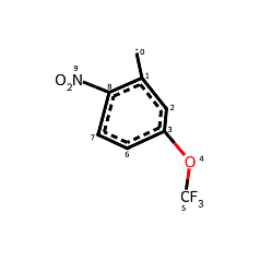 [CH2]c1cc(OC(F)(F)F)ccc1[N+](=O)[O-]